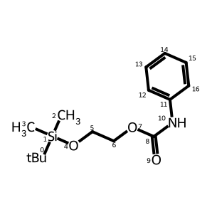 CC(C)(C)[Si](C)(C)OCCOC(=O)Nc1ccccc1